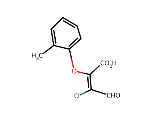 Cc1ccccc1O/C(C(=O)O)=C(\Cl)C=O